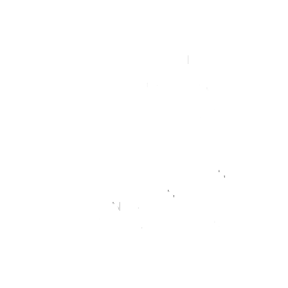 O=C(Cn1cc(Cl)c2ncc(-c3ccc(F)c(Cl)c3)cc21)N1CC(F)C1